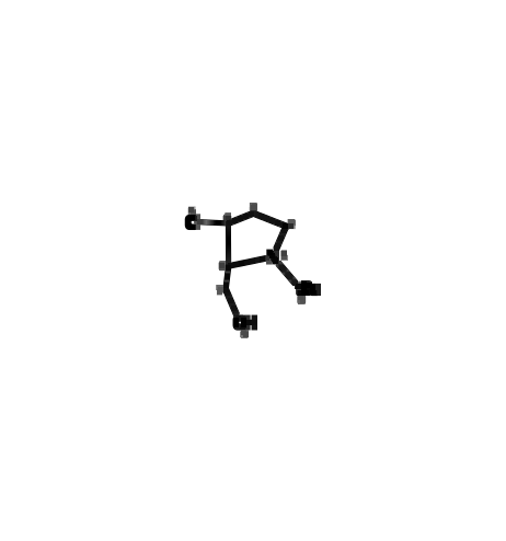 CC(C)(C)N1CCC(Cl)C1CO